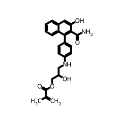 C=C(C)C(=O)OCC(O)CNc1ccc(-c2c(C(N)=O)c(O)cc3ccccc23)cc1